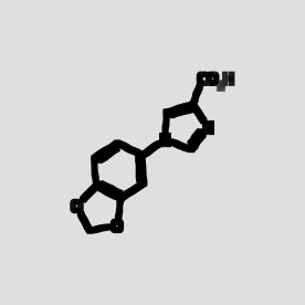 O=C(O)c1cn(-c2ccc3c(c2)OCO3)cn1